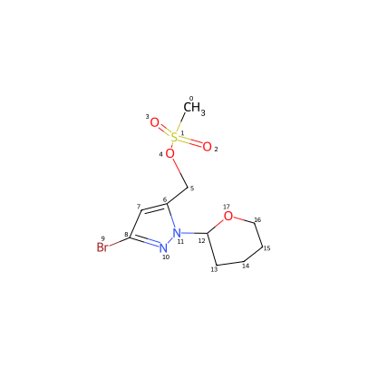 CS(=O)(=O)OCc1cc(Br)nn1C1CCCCO1